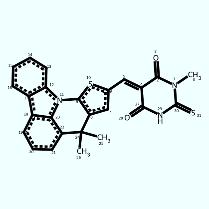 CN1C(=O)/C(=C/c2cc3c(s2)-n2c4ccccc4c4cccc(c42)C3(C)C)C(=O)NC1=S